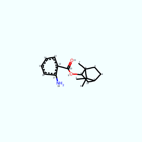 CC1(C)C2CCC1(C)C(OC(=O)c1ccccc1N)C2